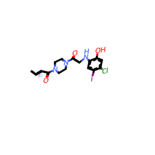 C/C=C/C(=O)N1CCN(C(=O)CNc2cc(I)c(Cl)cc2O)CC1